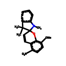 COc1ccc([N+](=O)[O-])c2c1OC1(C=C2)N(C)c2ccccc2C1(C)C